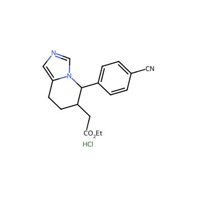 CCOC(=O)CC1CCc2cncn2C1c1ccc(C#N)cc1.Cl